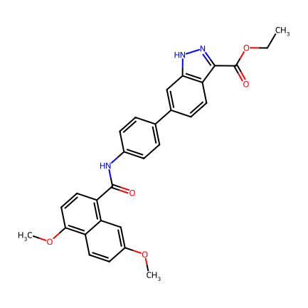 CCOC(=O)c1n[nH]c2cc(-c3ccc(NC(=O)c4ccc(OC)c5ccc(OC)cc45)cc3)ccc12